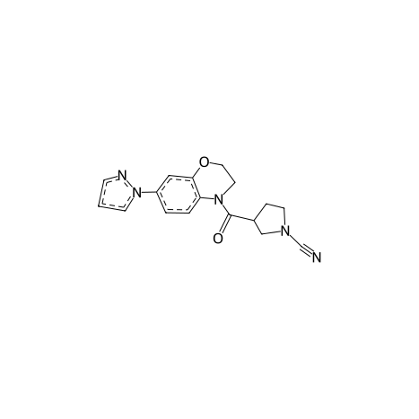 N#CN1CCC(C(=O)N2CCOc3cc(-n4cccn4)ccc32)C1